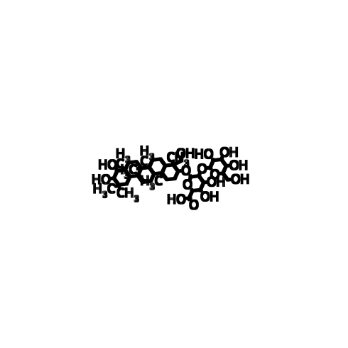 CC1(C)CC2C3=CCC4C5(C)CCC(OC6OC(C(=O)O)C(O)C(O)C6OC6OC(CO)C(O)C(O)C6O)C(C)(CO)C5CCC4(C)C3(C)CCC2(C)C(O)C1O